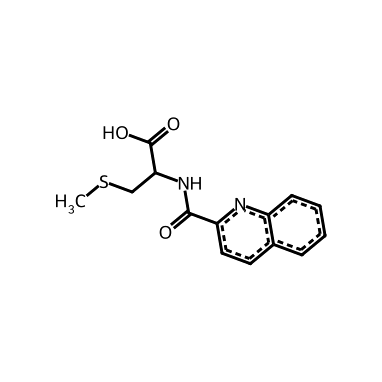 CSCC(NC(=O)c1ccc2ccccc2n1)C(=O)O